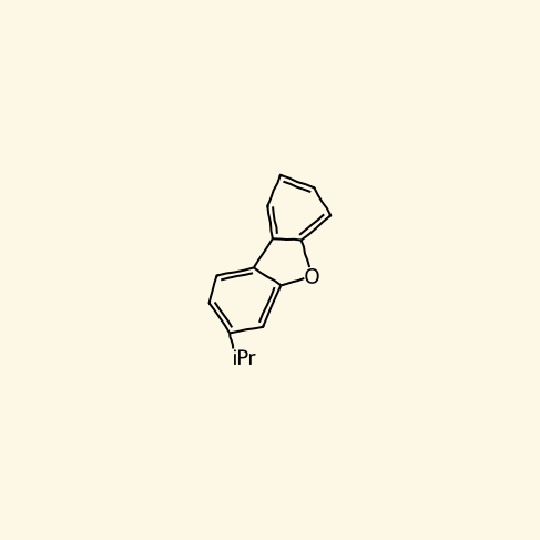 CC(C)c1ccc2c(c1)oc1ccccc12